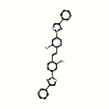 [Na][c]1cc(-n2ncc(-c3ccccc3)n2)ccc1C=Cc1ccc(-n2ncc(-c3ccccc3)n2)c[c]1[Na]